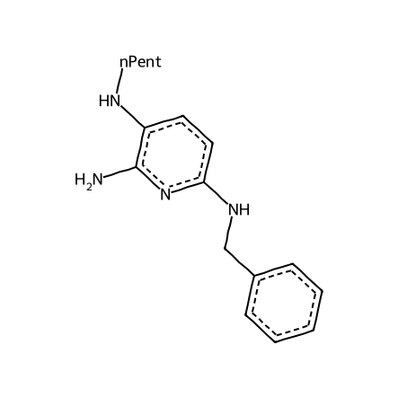 CCCCCNc1ccc(NCc2ccccc2)nc1N